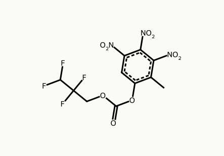 Cc1c(OC(=O)OCC(F)(F)C(F)F)cc([N+](=O)[O-])c([N+](=O)[O-])c1[N+](=O)[O-]